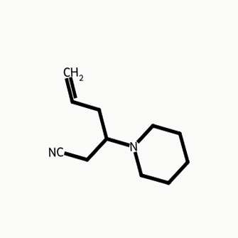 C=CCC(CC#N)N1CCCCC1